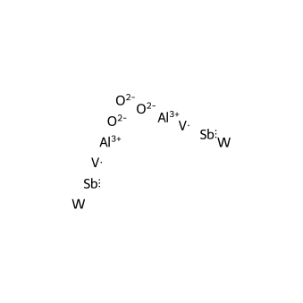 [Al+3].[Al+3].[O-2].[O-2].[O-2].[Sb].[Sb].[V].[V].[W].[W]